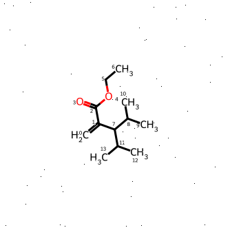 C=C(C(=O)OCC)C(C(C)C)C(C)C